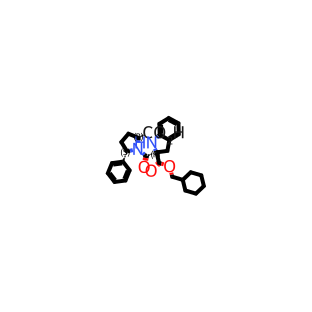 O=C(O)[C@H]1CC[C@@H](c2ccccc2)N1C(=O)[C@@]1(C(=O)OCC2CCCCC2)Cc2ccccc2N1